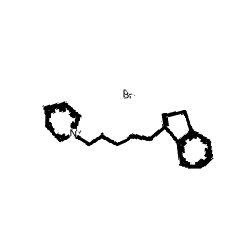 C1=C(CCCCC[n+]2ccccc2)c2ccccc2C1.[Br-]